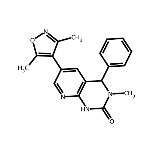 Cc1noc(C)c1-c1cnc2c(c1)C(c1ccccc1)N(C)C(=O)N2